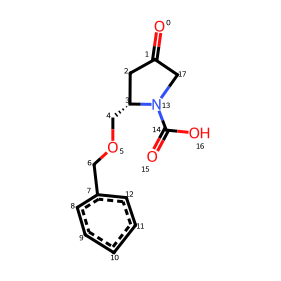 O=C1C[C@@H](COCc2ccccc2)N(C(=O)O)C1